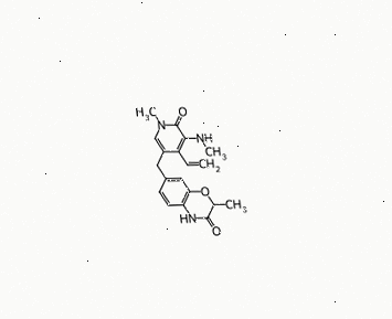 C=Cc1c(Cc2ccc3c(c2)OC(C)C(=O)N3)cn(C)c(=O)c1NC